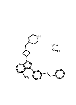 CCOC=O.Nc1ncnc2c1c(-c1cccc(OCc3ccccc3)c1)cn2[C@H]1C[C@H](CN2CCNCC2)C1